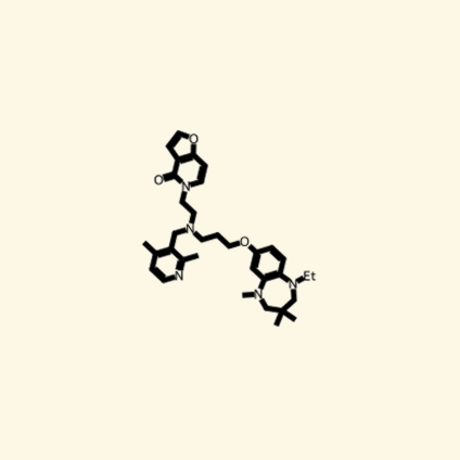 CCN1CC(C)(C)CN(C)c2cc(OCCCN(CCn3ccc4occc4c3=O)Cc3c(C)ccnc3C)ccc21